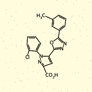 Cc1cccc(-c2nnc(-c3cc(C(=O)O)nn3-c3ccccc3Cl)o2)c1